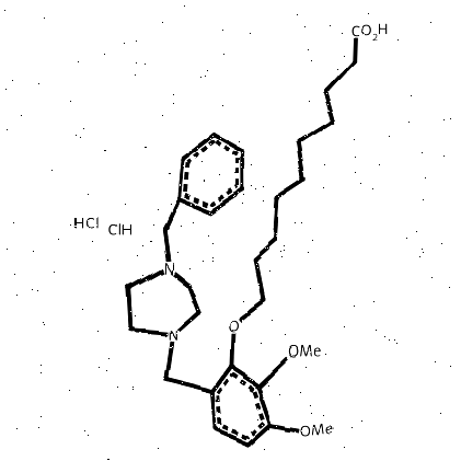 COc1ccc(CN2CCN(Cc3ccccc3)CC2)c(OCCCCCCCCCC(=O)O)c1OC.Cl.Cl